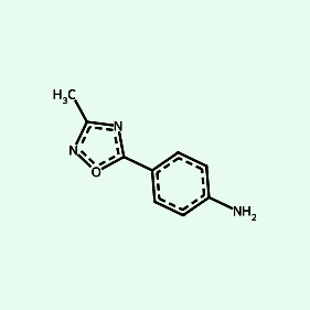 Cc1noc(-c2ccc(N)cc2)n1